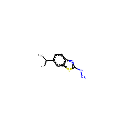 CC(C)c1ccc2nc(NN)sc2c1